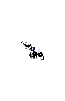 C/C=C(\C=C(/C=N)NC(=O)CCCNC)c1cc(-c2cc(Cl)ccc2F)nc2c1OCCN2